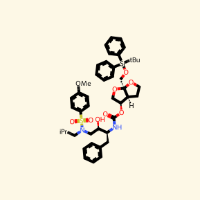 COc1ccc(S(=O)(=O)N(CC(C)C)C[C@@H](O)[C@H](Cc2ccccc2)NC(=O)O[C@H]2CO[C@@]3(CO[Si](c4ccccc4)(c4ccccc4)C(C)(C)C)OCC[C@@H]23)cc1